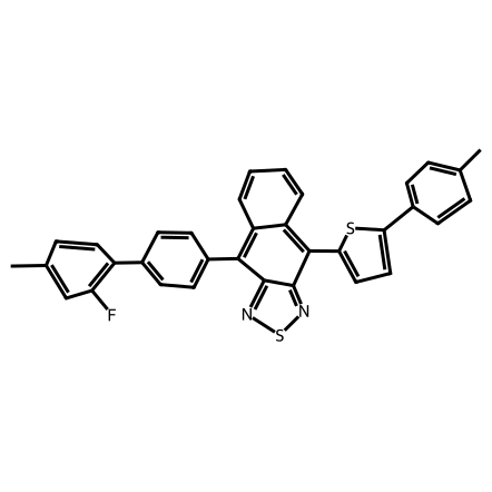 Cc1ccc(-c2ccc(-c3c4ccccc4c(-c4ccc(-c5ccc(C)cc5F)cc4)c4nsnc34)s2)cc1